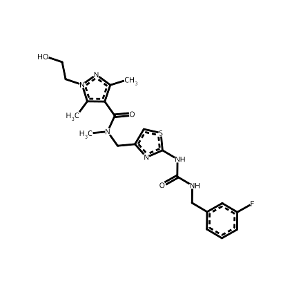 Cc1nn(CCO)c(C)c1C(=O)N(C)Cc1csc(NC(=O)NCc2cccc(F)c2)n1